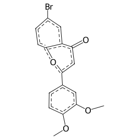 COc1ccc(-c2cc(=O)c3cc(Br)ccc3o2)cc1OC